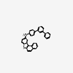 c1ccc(-c2cccc(-c3ccc(Nc4ccc5sc6ccc7ccccc7c6c5c4)cc3)c2)cc1